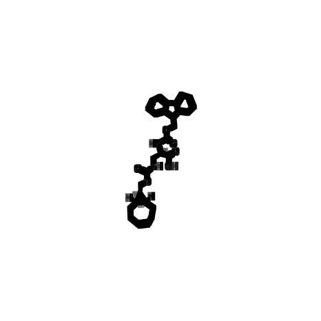 O=C(NC[C@@H](NC(=O)OCC1c2ccccc2-c2ccccc21)C(=O)O)OC[C@@H]1[C@@H]2CCC#CCC[C@@H]21